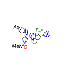 CNC(=O)N1CCC(NC2CCN(C(C)=O)CC2)=C(C(=N)N2CCCc3cc(-c4cnn(C)c4)c(C(F)F)cc32)C1